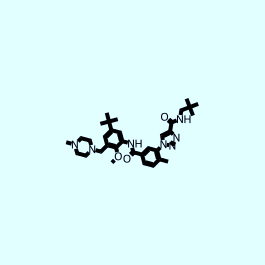 COc1c(CN2CCN(C)CC2)cc(C(C)(C)C)cc1NC(=O)c1ccc(C)c(-n2cc(C(=O)NCC(C)(C)C)nn2)c1